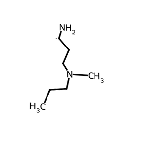 CCCN(C)CC[CH]N